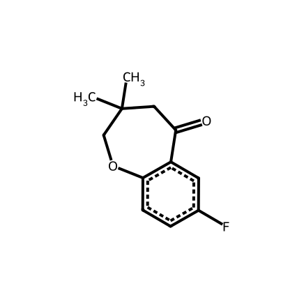 CC1(C)COc2ccc(F)cc2C(=O)C1